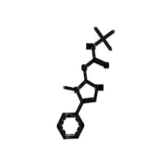 CN1C(c2ccccc2)=CNC1OC(=O)NC(C)(C)C